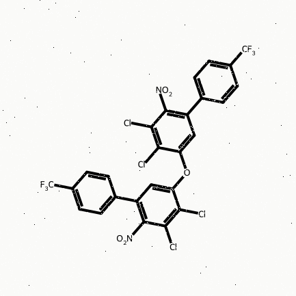 O=[N+]([O-])c1c(-c2ccc(C(F)(F)F)cc2)cc(Oc2cc(-c3ccc(C(F)(F)F)cc3)c([N+](=O)[O-])c(Cl)c2Cl)c(Cl)c1Cl